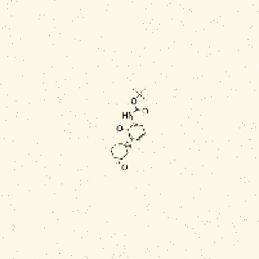 CC(C)(C)OC(=O)Nc1cccn([C@@H]2CCC[C@@H](O)C2)c1=O